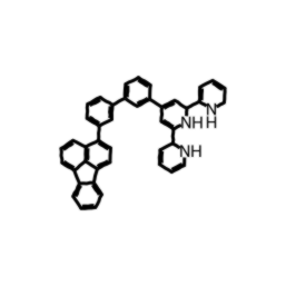 C1=CCNC(C2C=C(c3cccc(-c4cccc(-c5ccc6c7c(cccc57)-c5ccccc5-6)c4)c3)C=C(C3C=CC=CN3)N2)=C1